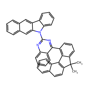 CC1(C)c2cccc(-c3nc(-n4c5ccccc5c5cc6ccccc6cc54)nc4ccccc34)c2-c2c1ccc1ccccc21